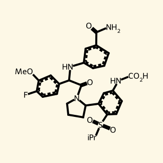 COc1cc(C(Nc2cccc(C(N)=O)c2)C(=O)N2CCCC2c2cc(NC(=O)O)ccc2S(=O)(=O)C(C)C)ccc1F